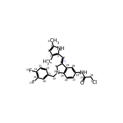 Cc1cc(C)c(/C=C2\CN(Cc3ccc(F)c(F)c3)c3ccc(NC(=O)CCl)cc32)[nH]1